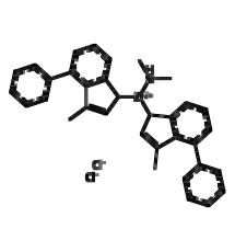 CC1=C[CH]([Zr+2]([CH]2C=C(C)c3c(-c4ccccc4)cccc32)[SiH](C)C)c2cccc(-c3ccccc3)c21.[Cl-].[Cl-]